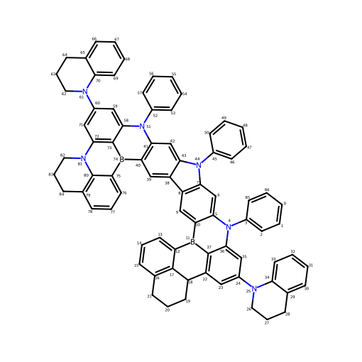 c1ccc(N2c3cc4c(cc3B3c5cccc6c5C(CCC6)c5cc(N6CCCc7ccccc76)cc2c53)c2cc3c(cc2n4-c2ccccc2)N(c2ccccc2)c2cc(N4CCCc5ccccc54)cc4c2B3c2cccc3c2N4CCC3)cc1